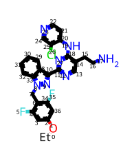 CCOc1cc(F)c(Cn2nc(-c3ncc(CCN)c(Nc4ccncc4Cl)n3)c3ccccc32)c(F)c1